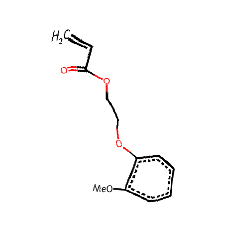 C=CC(=O)OCCOc1ccccc1OC